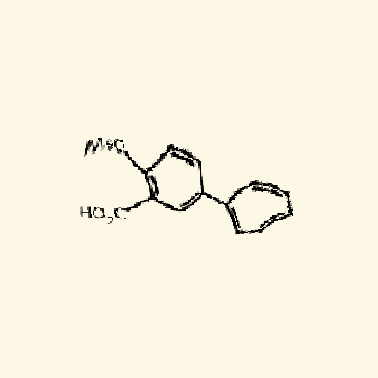 COc1ccc(-c2ccccc2)cc1C(=O)O